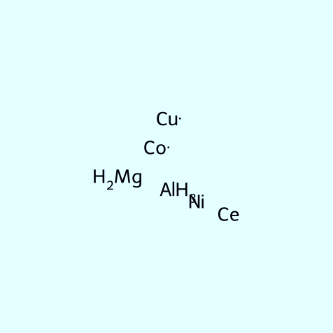 [AlH3].[Ce].[Co].[Cu].[MgH2].[Ni]